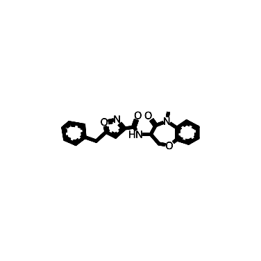 CN1C(=O)C(NC(=O)c2cc(Cc3ccccc3)on2)COc2ccccc21